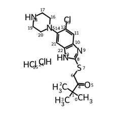 CC(C)(C)C(=O)CSc1nc2cc(Cl)c(N3CCNCC3)cc2[nH]1.Cl.Cl